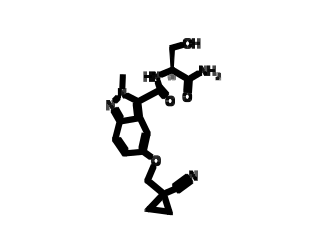 Cn1nc2ccc(OCC3(C#N)CC3)cc2c1C(=O)N[C@@H](CO)C(N)=O